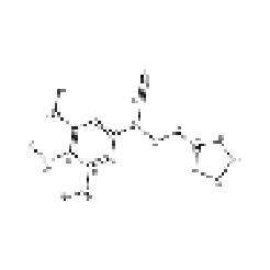 COc1cc(C(C#N)CCN2CCCC2)cc(OC)c1OC